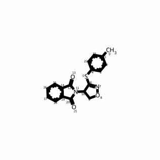 Cc1ccc(SC2=NOCC2N2C(=O)c3ccccc3C2=O)cc1